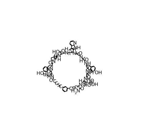 CC(C)[C@]1(C)NC(=O)[C@H](Cc2ccc(O)cc2)NC(=O)[C@H](C)NC(=O)C(C)(C)NC(=O)[C@H](Cc2c[nH]c3ncccc23)NC(=O)C([C@@H](C)O)NC(=O)[C@@H]2CCCN2C(=O)[C@H](Cc2ccc(O)cc2)NC(=O)[C@H](C(C)(C)C)NC(=O)CCSCc2cccc(c2)CSC[C@@H](C(N)=O)NC(=O)[C@H]([C@@H](C)OP(=O)(O)O)NC1=O